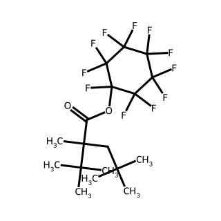 CC(C)(C)CC(C)(C(=O)OC1(F)C(F)(F)C(F)(F)C(F)(F)C(F)(F)C1(F)F)C(C)(C)C